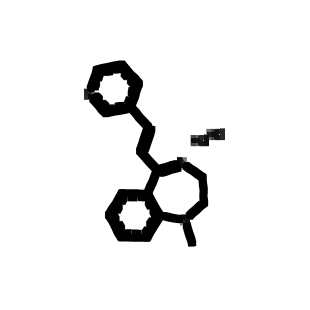 CN1CCN=C(C=Cc2cccnc2)c2ccccc21.Cl.Cl